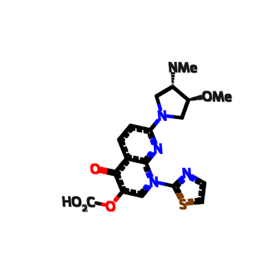 CN[C@H]1CN(c2ccc3c(=O)c(OC(=O)O)cn(-c4nccs4)c3n2)C[C@@H]1OC